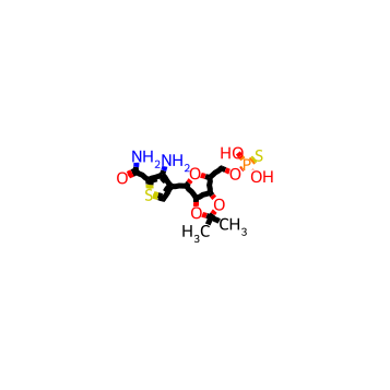 CC1(C)OC2C(COP(O)(O)=S)OC(c3csc(C(N)=O)c3N)C2O1